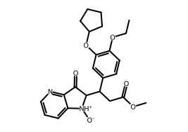 CCOc1ccc(C(CC(=O)OC)C2C(=O)c3ncccc3[NH+]2[O-])cc1OC1CCCC1